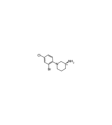 N[C@H]1CCCN(c2ccc(Cl)cc2Br)C1